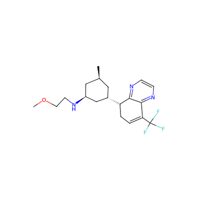 COCCN[C@H]1C[C@@H](C)C[C@H](C2CC=C(C(F)(F)F)c3nccnc32)C1